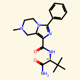 CN1CCn2c(-c3ccccc3)nc(C(=O)N[C@H](C(N)=O)C(C)(C)C)c2C1